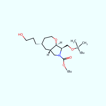 CC(C)(C)OC(=O)N1C[C@@H]2C[C@H](CCCO)CCO[C@H]2[C@H]1CO[Si](C)(C)C(C)(C)C